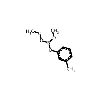 COOB(OC)Oc1cccc(C)c1